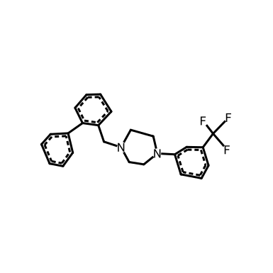 FC(F)(F)c1cccc(N2CCN(Cc3ccccc3-c3ccccc3)CC2)c1